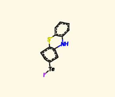 I[Te]c1ccc2c(c1)Nc1ccccc1S2